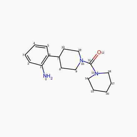 Nc1ccc[c]c1C1CCN(C(=O)N2CCCCC2)CC1